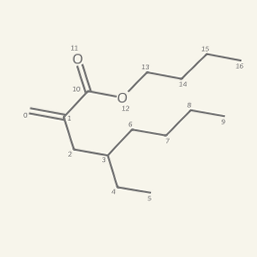 C=C(CC(CC)CCCC)C(=O)OCCCC